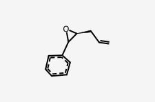 C=CC[C@@H]1OC1c1ccccc1